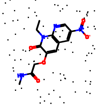 CCn1c(=O)c(OCC(=O)NC)cc2cc([N+](=O)[O-])cnc21